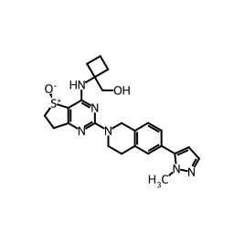 Cn1nccc1-c1ccc2c(c1)CCN(c1nc3c(c(NC4(CO)CCC4)n1)[S@+]([O-])CC3)C2